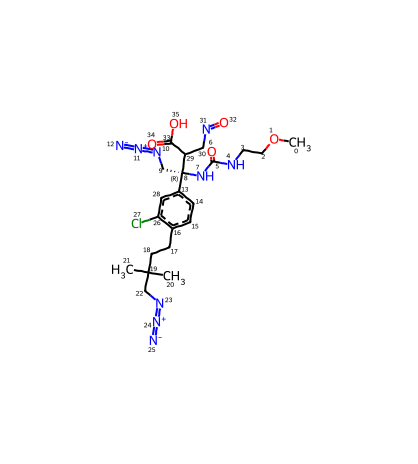 COCCNC(=O)N[C@@](CN=[N+]=[N-])(c1ccc(CCC(C)(C)CN=[N+]=[N-])c(Cl)c1)C(CN=O)C(=O)O